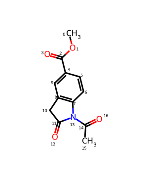 COC(=O)c1ccc2c(c1)CC(=O)N2C(C)=O